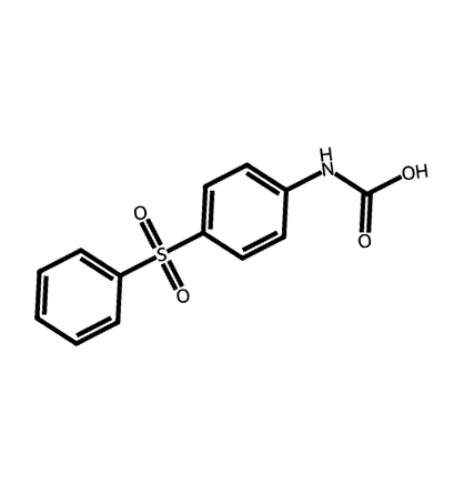 O=C(O)Nc1ccc(S(=O)(=O)c2ccccc2)cc1